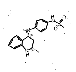 C[C@H]1C[C@@H](Nc2ccc(NS(C)(=O)=O)cc2)c2ccccc2N1